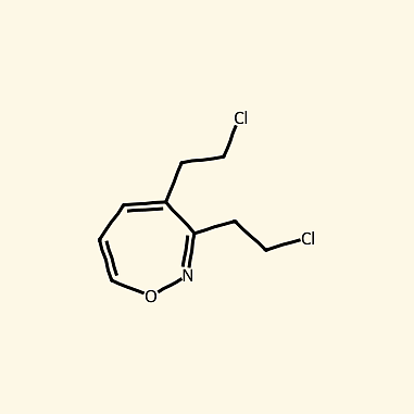 ClCCC1=CC=CON=C1CCCl